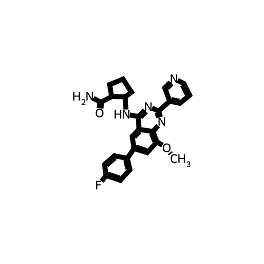 COc1cc(-c2ccc(F)cc2)cc2c(NC3CCCC3C(N)=O)nc(-c3cccnc3)nc12